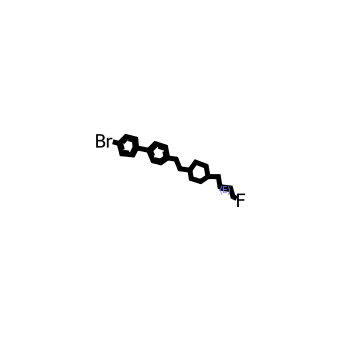 FC/C=C/CC1CCC(CCc2ccc(-c3ccc(Br)cc3)cc2)CC1